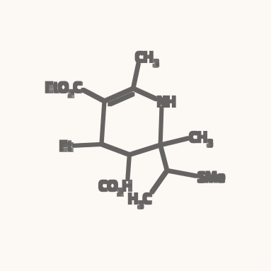 CCOC(=O)C1=C(C)NC(C)(C(C)SC)C(C(=O)O)C1CC